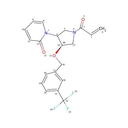 C=CC(=O)N1CC(n2ccccc2=O)[C@H](OCc2cccc(C(F)(F)F)c2)C1